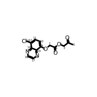 CC(=O)COC(=O)COc1ccc(Cl)c2nccnc12